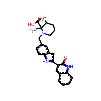 CC1CCCN(Cc2ccc3[nH]c(-c4cc5ccccc5[nH]c4=O)cc3c2)C1(C)C(=O)O